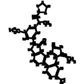 Cc1cc(C(C)NC2CCCC2)cc(N2Cc3ccc(-c4ccc(Cl)cc4-c4nncn4C)cc3C2=O)n1